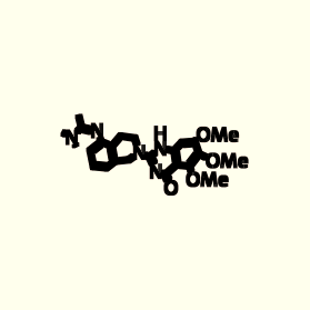 COc1cc2[nH]c(N3CCc4c(cccc4N=C(C)N(C)C)C3)nc(=O)c2c(OC)c1OC